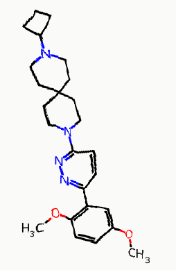 COc1ccc(OC)c(-c2ccc(N3CCC4(CC3)CCN(C3CCC3)CC4)nn2)c1